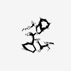 CN[C@@H](C)C(=O)N[C@H](C(=O)N1Cc2ccccc2[C@H]1C(=O)O)C1CCCCC1